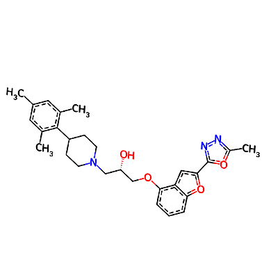 Cc1cc(C)c(C2CCN(C[C@H](O)COc3cccc4oc(-c5nnc(C)o5)cc34)CC2)c(C)c1